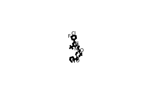 CC(C)(C)c1cc(-c2ccc(Cl)c(F)c2)nn2cc(C(=O)N3CCN(C(=O)c4ccccn4)CC3(C)C)nc12